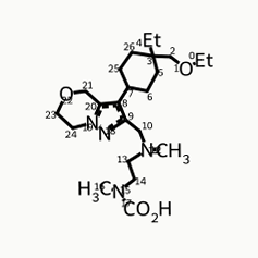 CCOCC1(CC)CCC(c2c(CN(C)CCN(C)C(=O)O)nn3c2COCC3)CC1